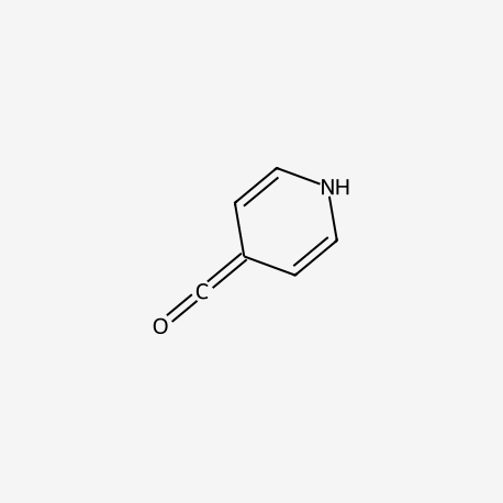 O=C=C1C=CNC=C1